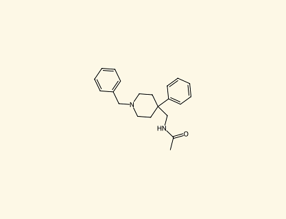 CC(=O)NCC1(c2ccccc2)CCN(Cc2ccccc2)CC1